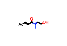 CC(=O)/C=C/C(=O)NCCO